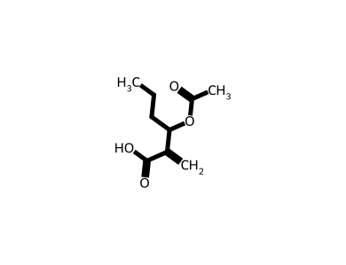 C=C(C(=O)O)C(CCC)OC(C)=O